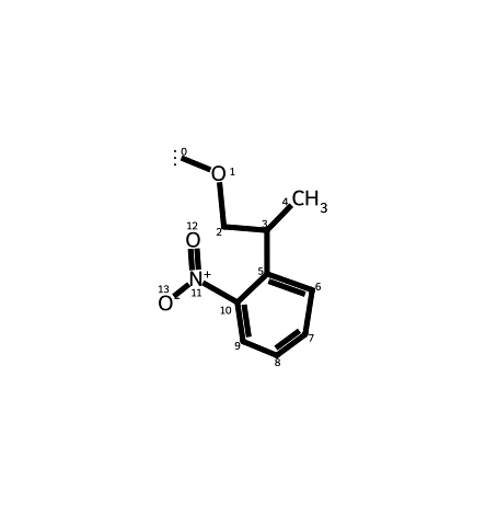 [C]OCC(C)c1ccccc1[N+](=O)[O-]